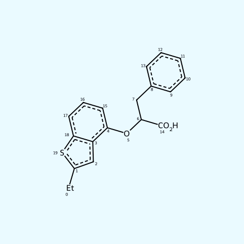 CCc1cc2c(OC(Cc3ccccc3)C(=O)O)cccc2s1